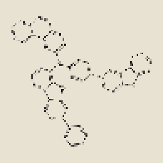 c1ccc(-c2ccc3c(c2)oc2c(N(c4ccc(-c5ccc6sc7ccccc7c6c5)cc4)c4ccc5ccc6ccccc6c5c4)cccc23)cc1